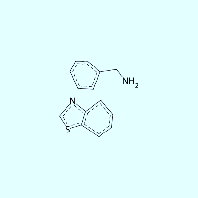 NCc1ccccc1.c1ccc2scnc2c1